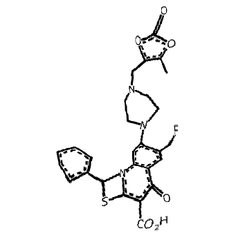 Cc1oc(=O)oc1CN1CCN(c2cc3c(cc2F)c(=O)c(C(=O)O)c2n3C(c3ccccc3)S2)CC1